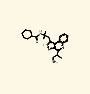 CC(CN)c1nc2ccccc2c2c(CC(C)(C)NC(=O)C3CCCCC3)[nH]nc12